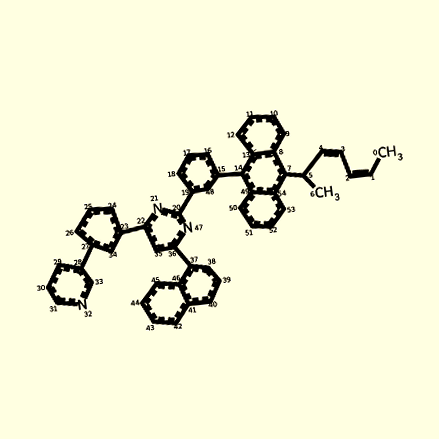 C/C=C\C=C/C(C)c1c2ccccc2c(-c2cccc(-c3nc(-c4cccc(-c5cccnc5)c4)cc(-c4cccc5ccccc45)n3)c2)c2ccccc12